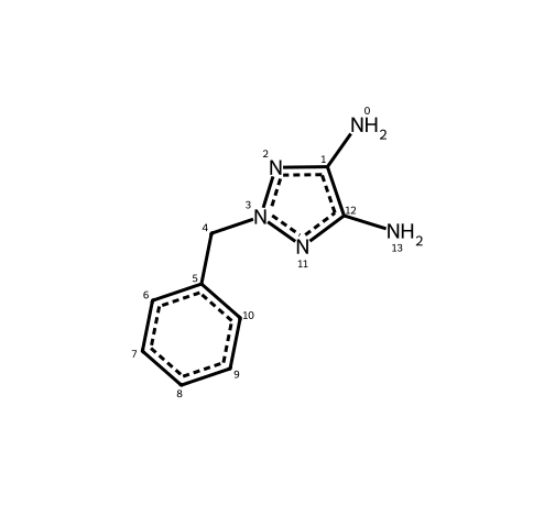 Nc1nn(Cc2ccccc2)nc1N